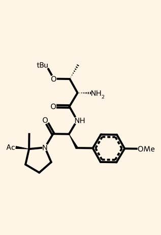 COc1ccc(C[C@H](NC(=O)[C@@H](N)[C@@H](C)OC(C)(C)C)C(=O)N2CCC[C@@]2(C)C(C)=O)cc1